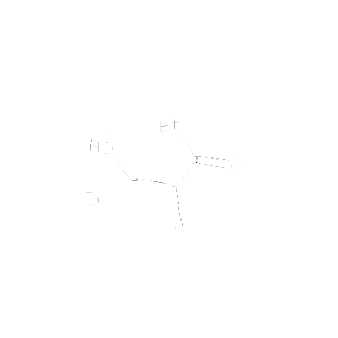 CCC(=O)C(C)[C@@H](O)CC